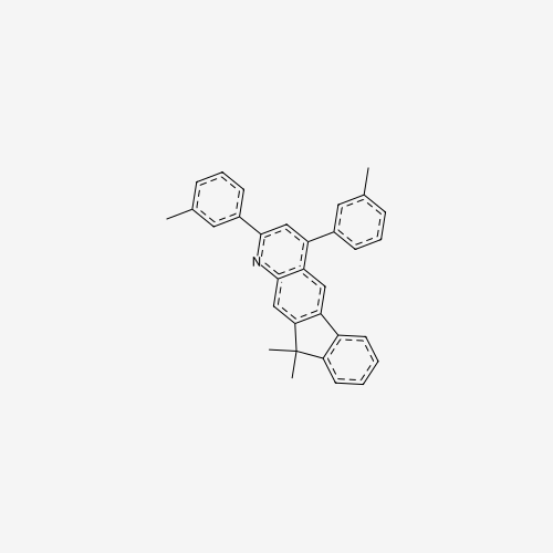 Cc1cccc(-c2cc(-c3cccc(C)c3)c3cc4c(cc3n2)C(C)(C)c2ccccc2-4)c1